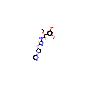 CCO[C@H](C(=O)Nc1nnc(N[C@@H]2CCN(c3cccnn3)C2)s1)c1cc(OC)cc(OC)c1